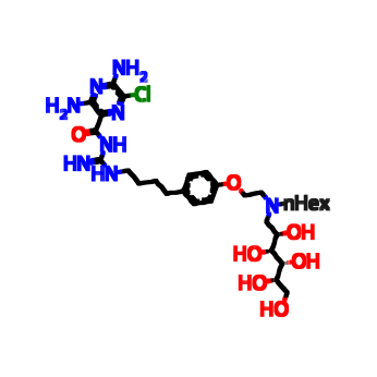 CCCCCCN(CCOc1ccc(CCCCNC(=N)NC(=O)c2nc(Cl)c(N)nc2N)cc1)C[C@@H](O)[C@H](O)[C@H](O)[C@H](O)CO